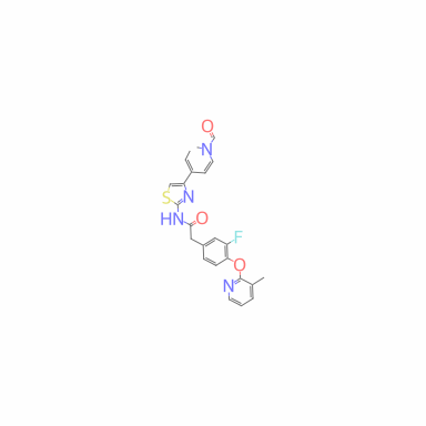 C/C=C(\C=C/N(C)C=O)c1csc(NC(=O)Cc2ccc(Oc3ncccc3C)c(F)c2)n1